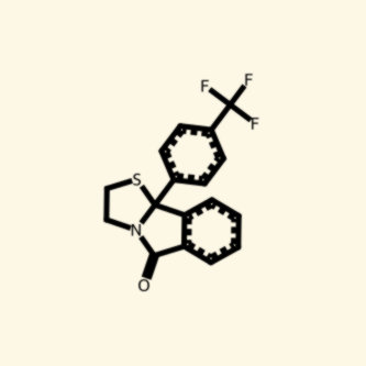 O=C1c2ccccc2C2(c3ccc(C(F)(F)F)cc3)SCCN12